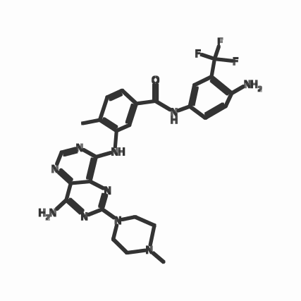 Cc1ccc(C(=O)Nc2ccc(N)c(C(F)(F)F)c2)cc1Nc1ncnc2c(N)nc(N3CCN(C)CC3)nc12